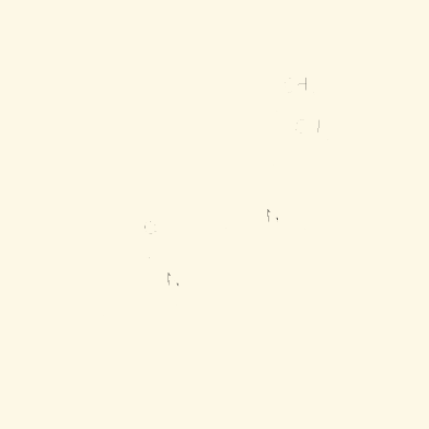 CC1(C)c2ccccc2-c2cc3c4cc(-n5c(=O)c6ccccc6c6ccccc65)ccc4n(-c4ccccc4)c3cc21